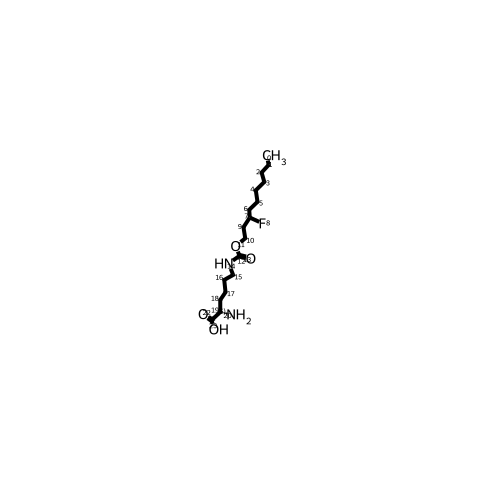 CCCCCCCC(F)CCOC(=O)NCCCC[C@H](N)C(=O)O